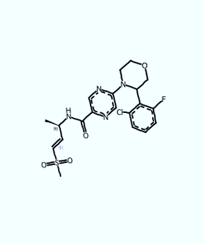 C[C@H](/C=C/S(C)(=O)=O)NC(=O)c1cnc(N2CCOCC2c2c(F)cccc2Cl)cn1